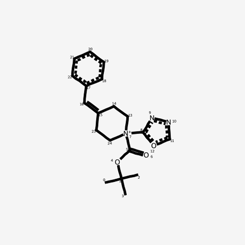 CC(C)(C)OC(=O)[N+]1(c2nnco2)CCC(=Cc2ccccc2)CC1